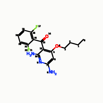 CCCCOc1cc(N)nc(N)c1C(=O)c1c(F)cccc1F